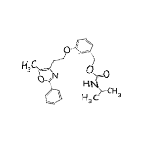 Cc1oc(-c2ccccc2)nc1CCOc1[c]c(COC(=O)NC(C)C)ccc1